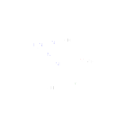 CCCCNc1nc(N)nc(C)c1Cc1ccc(Br)cc1OC